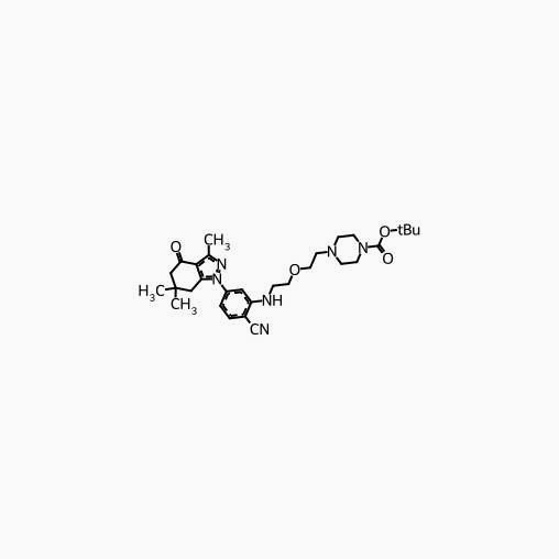 Cc1nn(-c2ccc(C#N)c(NCCOCCN3CCN(C(=O)OC(C)(C)C)CC3)c2)c2c1C(=O)CC(C)(C)C2